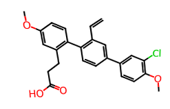 C=Cc1cc(-c2ccc(OC)c(Cl)c2)ccc1-c1ccc(OC)cc1CCC(=O)O